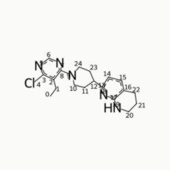 CCc1c(Cl)ncnc1N1CCC(c2ccc3c(n2)NCCC3)CC1